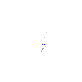 C[C@H]1CCC[C@@H]([C@@H](CN)c2nsc(=O)[nH]2)C1